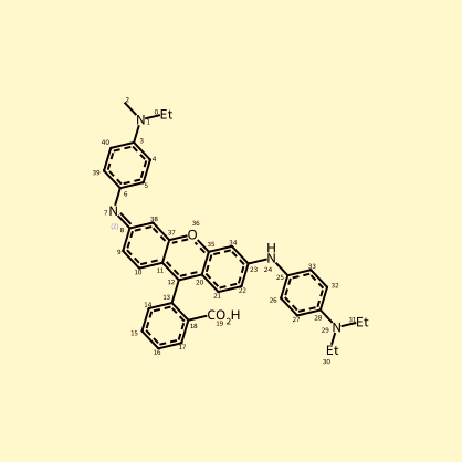 CCN(C)c1ccc(/N=c2/ccc3c(-c4ccccc4C(=O)O)c4ccc(Nc5ccc(N(CC)CC)cc5)cc4oc-3c2)cc1